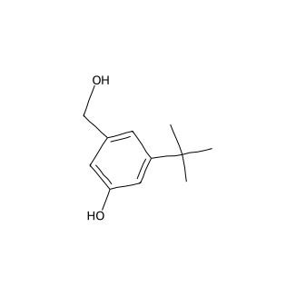 CC(C)(C)c1cc(O)cc(CO)c1